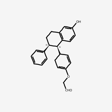 O=CCOC1=CCC([C@@H]2c3ccc(O)cc3CC[C@@H]2c2ccccc2)C=C1